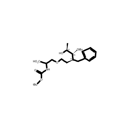 CC(C)CO[C@H]([C@H](CCOCC(NC(=O)OC(C)(C)C)C(=O)O)Cc1ccccc1)[C@H](C)O